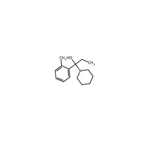 CCC(O)(c1ccccc1C)N1CCCCC1